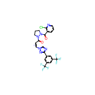 O=C(/C=C\n1cnc(-c2cc(C(F)(F)F)cc(C(F)(F)F)c2)n1)N1CCCN1C(=O)c1cccnc1Cl